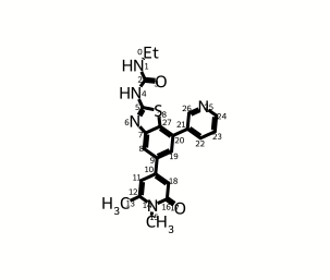 CCNC(=O)Nc1nc2cc(-c3cc(C)n(C)c(=O)c3)cc(-c3cccnc3)c2s1